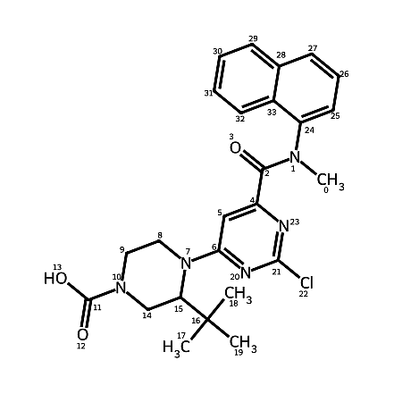 CN(C(=O)c1cc(N2CCN(C(=O)O)CC2C(C)(C)C)nc(Cl)n1)c1cccc2ccccc12